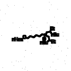 CCCCCCOCCCCCCP(=O)(CC(CC)CCCC)CC(CC)CCCC